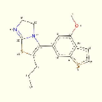 CCCC1=C(c2cc(OC)c3ccsc3c2)N2CCN=C2S1